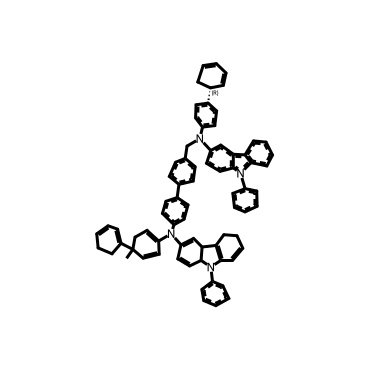 CC1(C2=CC=CCC2)C=CC(N(C2=CC3C4=C(C=CCC4)N(c4ccccc4)C3C=C2)c2ccc(-c3ccc(CN(c4ccc([C@H]5C=CC=CC5)cc4)c4ccc5c(c4)c4ccccc4n5-c4ccccc4)cc3)cc2)=CC1